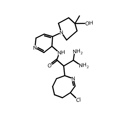 CC1(O)CCN(C2=CCN=CC2NC(=O)C(C(N)N)C2CCCCC(Cl)/C=N\2)CC1